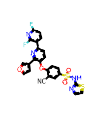 N#Cc1cc(S(=O)(=O)Nc2nccs2)ccc1Oc1ccc(-c2ccc(F)nc2F)nc1-c1ccoc1